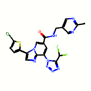 Cc1ncc(CNC(=O)c2cc(-n3nnnc3C(F)F)c3ncc(-c4ccc(Cl)s4)n3c2)cn1